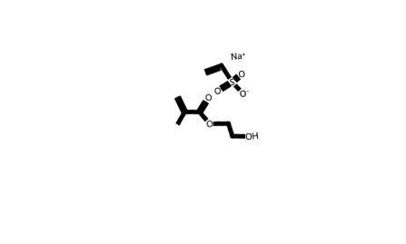 C=C(C)C(=O)OCCO.C=CS(=O)(=O)[O-].[Na+]